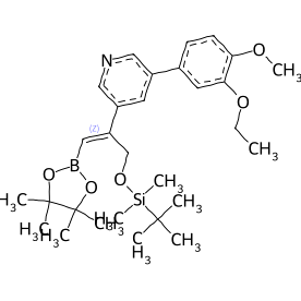 CCOc1cc(-c2cncc(/C(=C/B3OC(C)(C)C(C)(C)O3)CO[Si](C)(C)C(C)(C)C)c2)ccc1OC